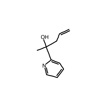 C=CCC(C)(O)c1ccccn1